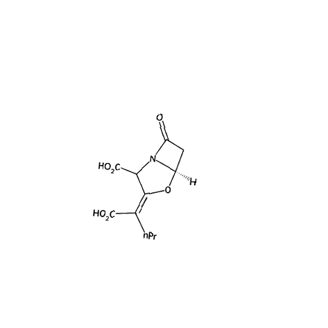 CCC/C(C(=O)O)=C1\O[C@@H]2CC(=O)N2C1C(=O)O